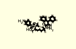 CC(C)N([C@H](CO)CCCC(C)(C)NC(=O)[C@@H](N)C(c1ccccc1)c1ccccc1)S(=O)(=O)c1ccc(N)cc1